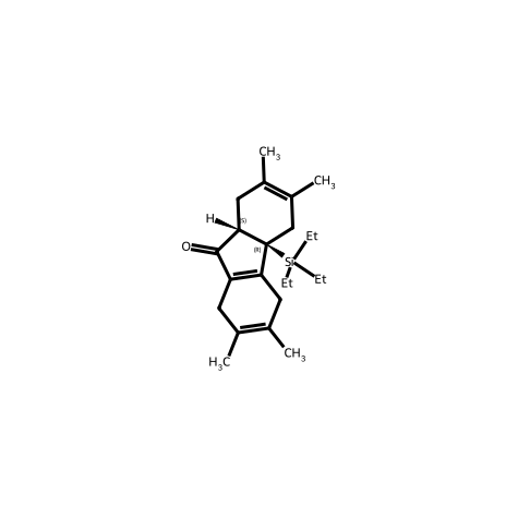 CC[Si](CC)(CC)[C@]12CC(C)=C(C)C[C@H]1C(=O)C1=C2CC(C)=C(C)C1